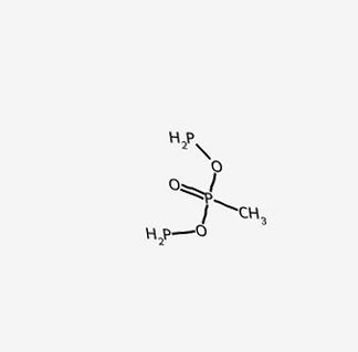 CP(=O)(OP)OP